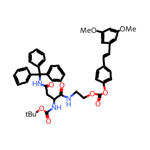 COc1cc(C=Cc2ccc(OC(=O)OCCNC(=O)C(CC(=O)NC(c3ccccc3)(c3ccccc3)c3ccccc3)NC(=O)OC(C)(C)C)cc2)cc(OC)c1